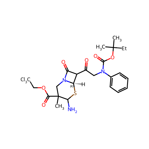 CCC(C)(C)OC(=O)N(CC(=O)C1C(=O)N2CC(C)(C(=O)OCC(Cl)(Cl)Cl)C(N)S[C@H]12)c1ccccc1